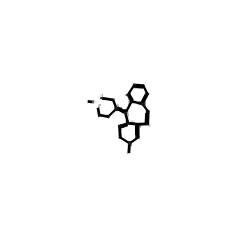 CC1C=C2C=Cc3ccccc3C(=C3CCN(C)CC3)C2=CC1